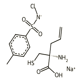 C=CC[C@](N)(CS)C(=O)O.Cc1ccc(S(=O)(=O)[N-]Cl)cc1.[Na+]